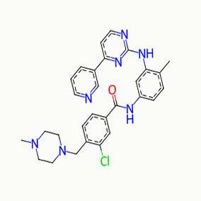 Cc1ccc(NC(=O)c2ccc(CN3CCN(C)CC3)c(Cl)c2)cc1Nc1nccc(-c2cccnc2)n1